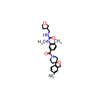 Cc1ccc(C(=O)N2CCC3(CC2)OCc2cc(C#N)ccc23)cc1N(C)C(=O)NCC1CCOC1